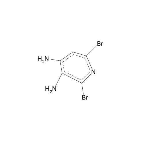 Nc1cc(Br)nc(Br)c1N